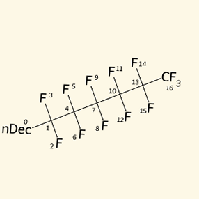 CCCCCCCCCCC(F)(F)C(F)(F)C(F)(F)C(F)(F)C(F)(F)C(F)(F)F